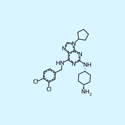 N[C@H]1CC[C@H](Nc2nc(NCc3ccc(Cl)c(Cl)c3)c3ncn(C4CCCC4)c3n2)CC1